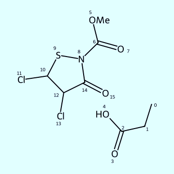 CCC(=O)O.COC(=O)N1SC(Cl)C(Cl)C1=O